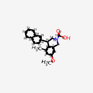 COc1cc(C)c2c(c1)CN(C(=O)O)CC2c1ccc2ccccc2c1